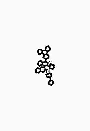 c1ccc(-c2ccc(N(c3ccc4ccccc4c3)c3cccc4oc5c(-c6ccc7c8ccccc8c8ccccc8c7c6)c6ccccc6cc5c34)cc2)cc1